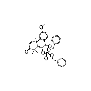 COc1ccc2c(c1)C1(C)C=CC(=O)C(C)(C)C1=C(OP(=O)(OCc1ccccc1)OCc1ccccc1)C2=O